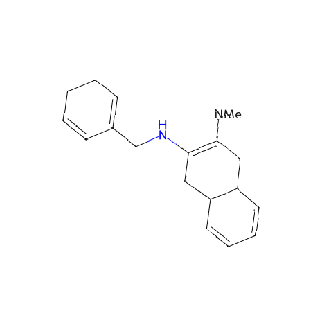 CNC1=C(NCC2=CCCC=C2)CC2C=CC=CC2C1